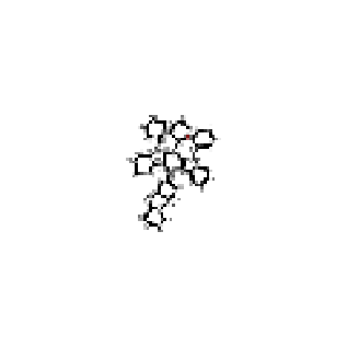 c1ccc(N2c3c(c4ccccc4n3-c3ccccc3)B(c3ccc4c(c3)oc3ccccc34)c3c2n(-c2ccccc2)c2ccccc32)cc1